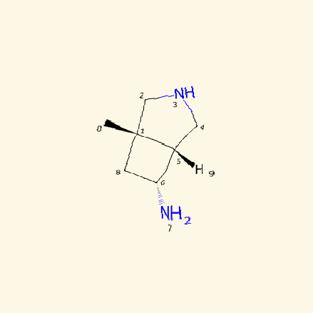 C[C@@]12CNC[C@@H]1[C@H](N)C2